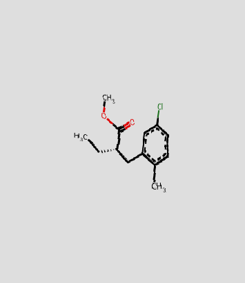 CC[C@@H](Cc1cc(Cl)ccc1C)C(=O)OC